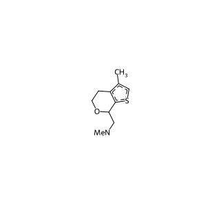 CNCC1OCCc2c(C)csc21